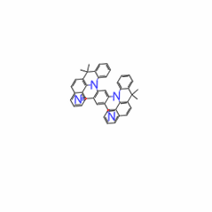 CC1(C)c2ccccc2N(c2cc(N3c4ccccc4C(C)(C)c4ccc5ccccc5c43)c(C#N)cc2C#N)c2c1ccc1ccccc21